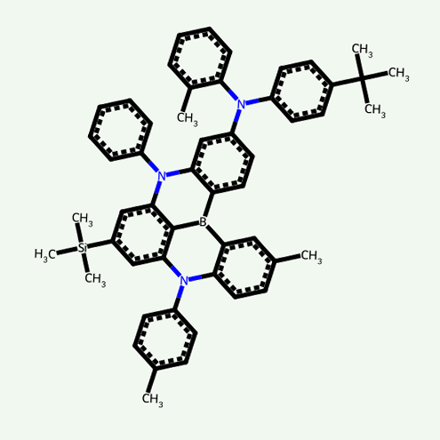 Cc1ccc(N2c3ccc(C)cc3B3c4ccc(N(c5ccc(C(C)(C)C)cc5)c5ccccc5C)cc4N(c4ccccc4)c4cc([Si](C)(C)C)cc2c43)cc1